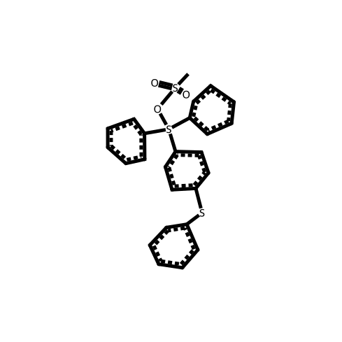 CS(=O)(=O)OS(c1ccccc1)(c1ccccc1)c1ccc(Sc2ccccc2)cc1